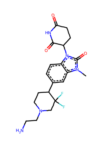 Cn1c(=O)n(C2CCC(=O)NC2=O)c2ccc(C3CCN(CCN)CC3(F)F)cc21